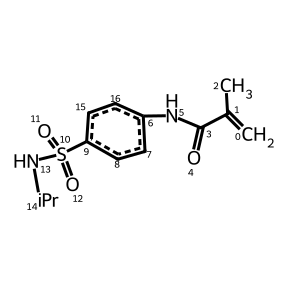 C=C(C)C(=O)Nc1ccc(S(=O)(=O)NC(C)C)cc1